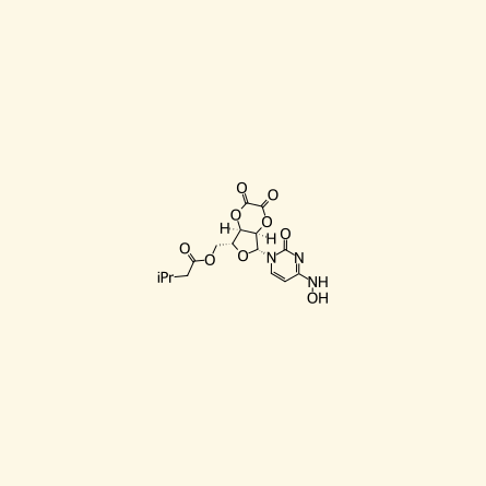 CC(C)CC(=O)OC[C@H]1O[C@@H](n2ccc(NO)nc2=O)[C@@H]2OC(=O)C(=O)O[C@@H]21